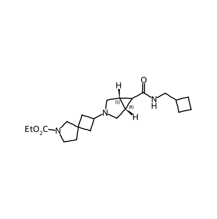 CCOC(=O)N1CCC2(CC(N3C[C@@H]4C(C(=O)NCC5CCC5)[C@@H]4C3)C2)C1